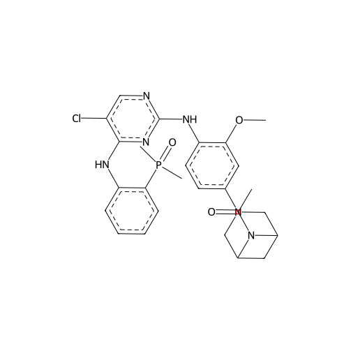 COc1cc(N2CC3CC(C2)N3C(C)=O)ccc1Nc1ncc(Cl)c(Nc2ccccc2P(C)(C)=O)n1